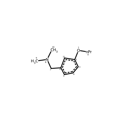 [CH2]CCOc1cccc(CN(C)C)c1